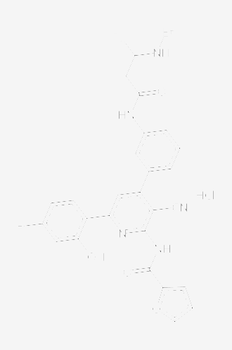 CCNC(CC)CC(=O)Nc1cccc(-c2cc(-c3ccc(F)cc3O)nc(NC(=O)c3ccco3)c2C#N)c1.Cl